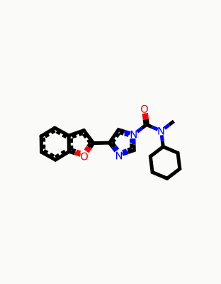 CN(C(=O)n1cnc(-c2cc3ccccc3o2)c1)C1CCCCC1